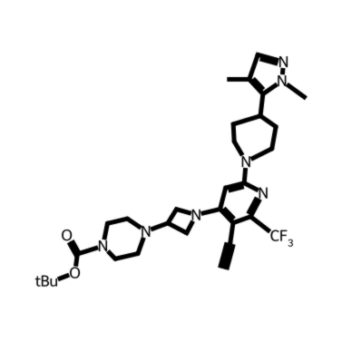 C#Cc1c(N2CC(N3CCN(C(=O)OC(C)(C)C)CC3)C2)cc(N2CCC(c3c(C)cnn3C)CC2)nc1C(F)(F)F